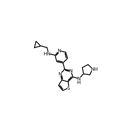 c1cc(-c2nc(NC3CCNC3)c3sccc3n2)cc(NCC2CC2)n1